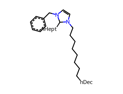 CCCCCCCCCCCCCCCCCCN1C=CN(Cc2ccccc2)C1CCCCCCC